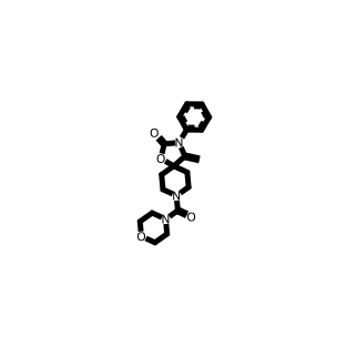 C=C1N(c2ccccc2)C(=O)OC12CCN(C(=O)N1CCOCC1)CC2